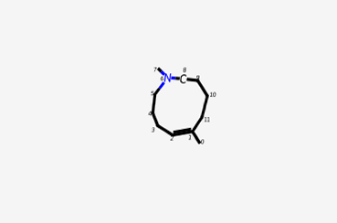 C/C1=C/CCCN(C)CCCC1